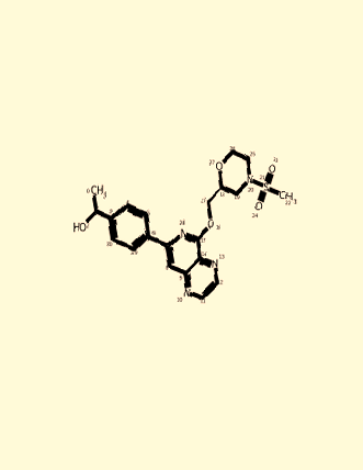 CC(O)c1ccc(-c2cc3nccnc3c(OC[C@@H]3CN(S(C)(=O)=O)CCO3)n2)cc1